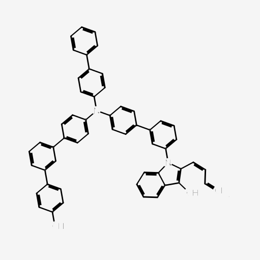 C=C/C=C\c1c(C)c2ccccc2n1-c1cccc(-c2ccc(N(c3ccc(-c4ccccc4)cc3)c3ccc(-c4cccc(-c5ccc(C)cc5)c4)cc3)cc2)c1